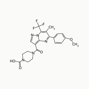 COc1ccc(-c2nc3c(C(=O)N4CCN(C(=O)O)CC4)cnn3c(C(F)(F)F)c2C)cc1